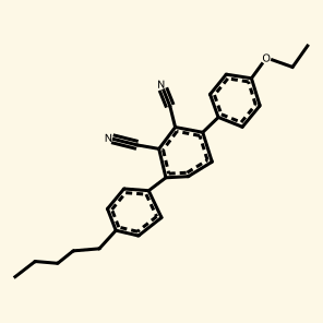 CCCCCc1ccc(-c2ccc(-c3ccc(OCC)cc3)c(C#N)c2C#N)cc1